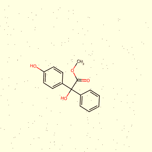 COC(=O)C(O)(c1ccccc1)c1ccc(O)cc1